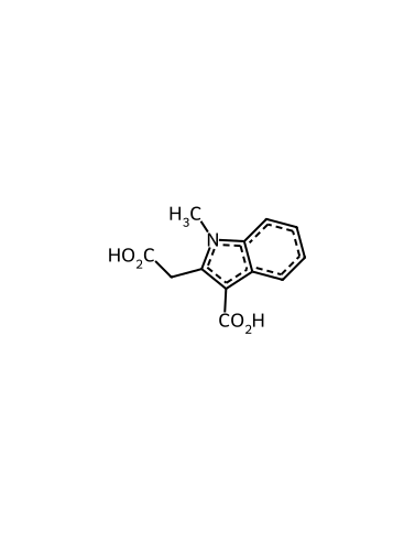 Cn1c(CC(=O)O)c(C(=O)O)c2ccccc21